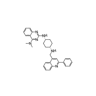 CN(C)c1nc(N[C@H]2CC[C@@H](NCc3cc(-c4ccccc4)nc4ccccc34)CC2)nc2ccccc12